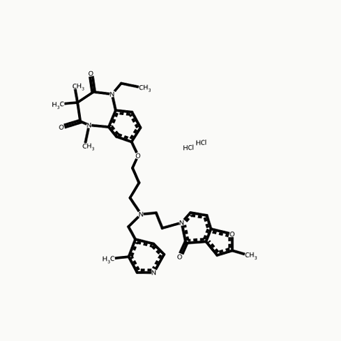 CCN1C(=O)C(C)(C)C(=O)N(C)c2cc(OCCCN(CCn3ccc4oc(C)cc4c3=O)Cc3ccncc3C)ccc21.Cl.Cl